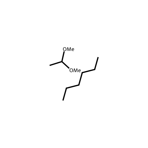 CCCCCC.COC(C)OC